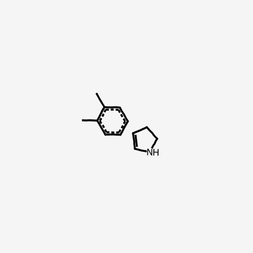 C1=CNCC1.Cc1ccccc1C